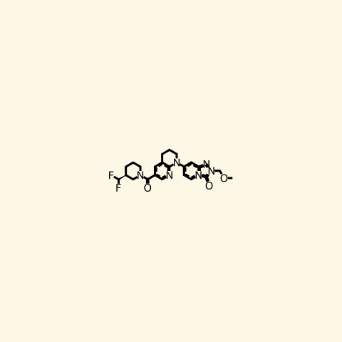 COCn1nc2cc(N3CCCc4cc(C(=O)N5CCC[C@H](C(F)F)C5)cnc43)ccn2c1=O